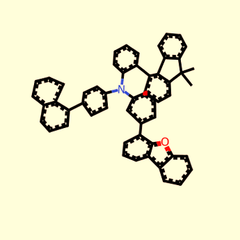 CC1(C)c2ccccc2-c2c(-c3ccccc3N(c3ccc(-c4cccc5ccccc45)cc3)c3cccc(-c4cccc5c4oc4ccccc45)c3)cccc21